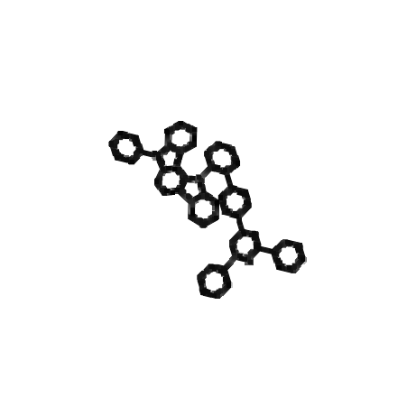 c1ccc(-c2cc(-c3ccc(-c4ccccc4-n4c5ccccc5c5ccc6c(c7ccccc7n6-c6ccccc6)c54)cc3)cc(-c3ccccc3)n2)cc1